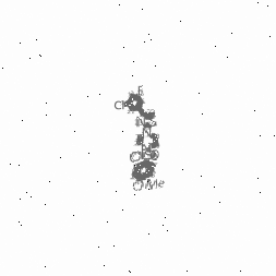 COc1ccc(S(=O)(=O)N2CCN(c3nc(-c4cc(F)cc(Cl)c4)cs3)CC2)cc1